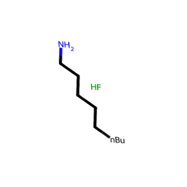 CCCCCCCCCN.F